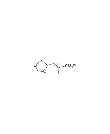 C/C(=C\C1COCO1)C(=O)O